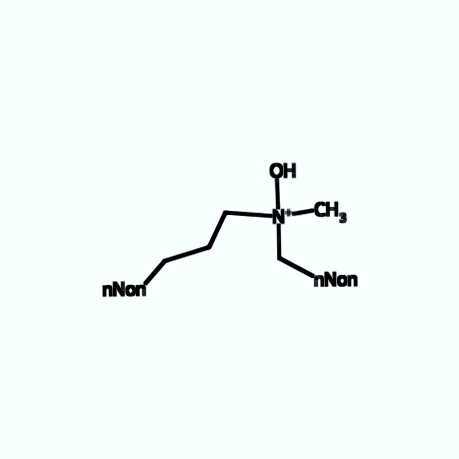 CCCCCCCCCCCC[N+](C)(O)CCCCCCCCCC